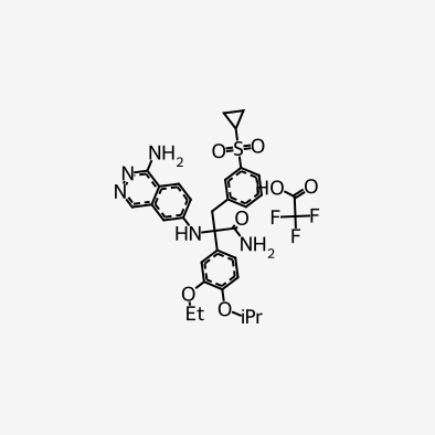 CCOc1cc(C(Cc2cccc(S(=O)(=O)C3CC3)c2)(Nc2ccc3c(N)nncc3c2)C(N)=O)ccc1OC(C)C.O=C(O)C(F)(F)F